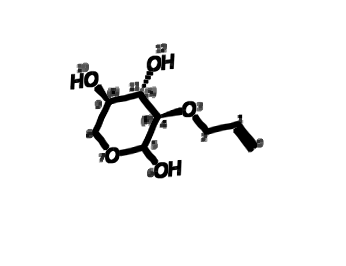 C=CCO[C@H]1C(O)OC[C@@H](O)[C@@H]1O